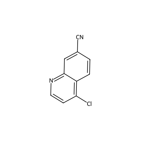 N#Cc1ccc2c(Cl)ccnc2c1